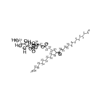 CCCCCCCCCCCCCC=CC(=O)C(CCCCCCCCCCCC)CCCCC(=O)OC[C@H](CO)OP(=O)(O)OC[C@@H](O)[C@@H](O)[C@H](O)CO